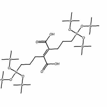 C[Si](C)(C)O[Si](CCCC(C(=O)O)=C(CCC[Si](O[Si](C)(C)C)(O[Si](C)(C)C)O[Si](C)(C)C)C(=O)O)(O[Si](C)(C)C)O[Si](C)(C)C